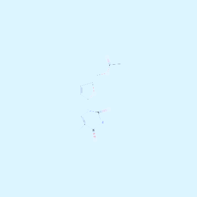 CC(=O)OC[C@H]1C=C[C@@H](n2cc(F)c(=O)[nH]c2=O)O1